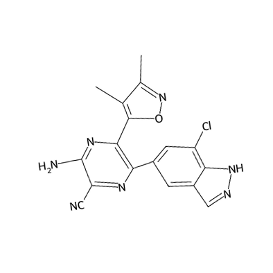 Cc1noc(-c2nc(N)c(C#N)nc2-c2cc(Cl)c3[nH]ncc3c2)c1C